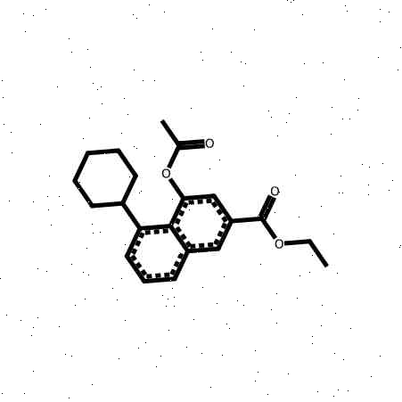 CCOC(=O)c1cc(OC(C)=O)c2c(C3CCCCC3)cccc2c1